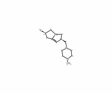 CN1CCN(C[C@H]2C=C3C[C@@H](F)CN3C2)CC1